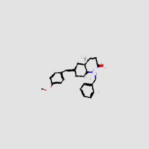 COc1ccc(/C=C2\CC[C@@H]3[C@H](CCC(=O)N3[C@H](C)c3ccccc3)C2)cc1